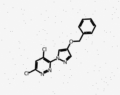 Clc1cc(Cl)c(-n2cc(OCc3ccccc3)cn2)nn1